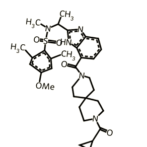 COc1cc(C)c(S(=O)(=O)N(C)C(C)c2nc3cccc(C(=O)N4CCC5(CC4)CCN(C(=O)C4CC4)CC5)c3[nH]2)c(C)c1